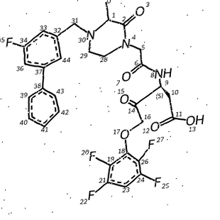 CC1C(=O)N(CC(=O)N[C@@H](CC(=O)O)C(=O)COc2c(F)c(F)cc(F)c2F)CCN1Cc1cc(F)cc(-c2ccccc2)c1